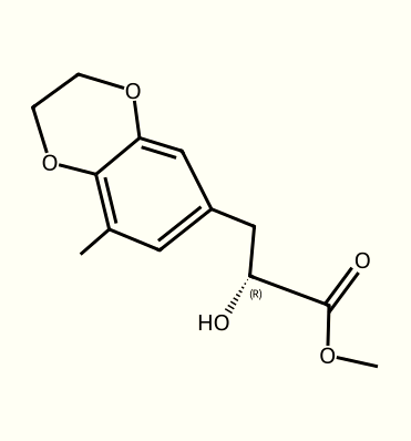 COC(=O)[C@H](O)Cc1cc(C)c2c(c1)OCCO2